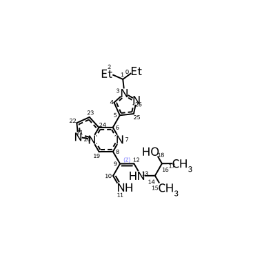 CCC(CC)n1cc(-c2nc(/C(C=N)=C/NC(C)C(C)O)cn3nccc23)cn1